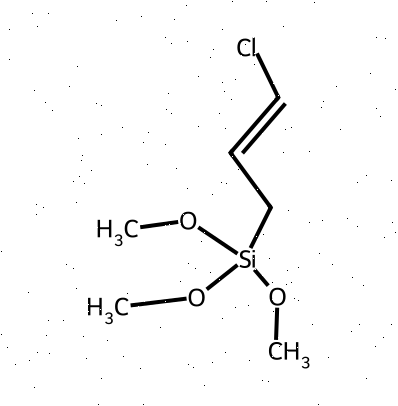 CO[Si](C/C=C/Cl)(OC)OC